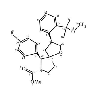 COC(=O)[C@H]1CC[C@@]2(C[C@@H](c3ccccc3C(C)(C)OC(F)(F)F)CO2)[C@@H]1c1ccc(F)cc1